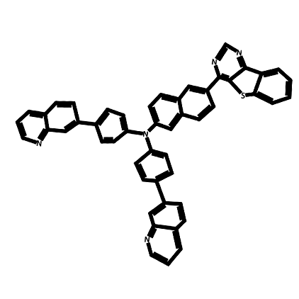 c1cnc2cc(-c3ccc(N(c4ccc(-c5ccc6cccnc6c5)cc4)c4ccc5cc(-c6ncnc7c6sc6ccccc67)ccc5c4)cc3)ccc2c1